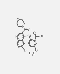 COc1ccc(Nc2c([S+]([O-])N3CCOCC3)cnc3ccc(Br)cc23)c(C(=O)O)n1